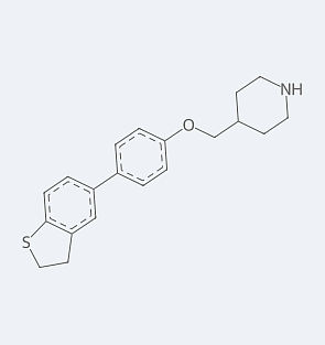 c1cc(-c2ccc3c(c2)CCS3)ccc1OCC1CCNCC1